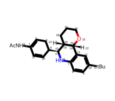 CC(=O)NC1=CCC([C@@H]2Nc3ccc(C(C)(C)C)cc3[C@H]3OCCC[C@H]32)C=C1